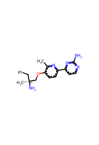 Cc1nc(-c2ccnc(N)n2)ccc1OC[C@@](C)(N)CC(C)C